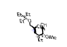 C#C[C@H](OC)[C@H](/C=C(\C)CO[Si](CC)(CC)CC)CC